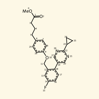 COC(=O)CCCc1ccc(OCc2cc(F)ccc2-c2cnc(C3CC3)nc2)cc1